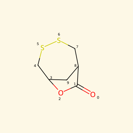 O=C1OC2CSSCC1C2